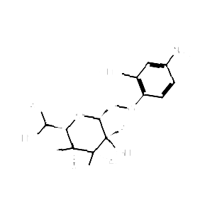 CC(=O)C(O)[C@H]1O[C@@H](OOc2ccc([N+](=O)[O-])cc2C=O)[C@@](O)(C(C)=O)[C@](O)(C(C)=O)[C@]1(O)C(C)=O